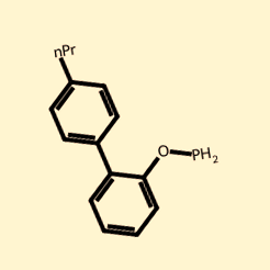 CCCc1ccc(-c2ccccc2OP)cc1